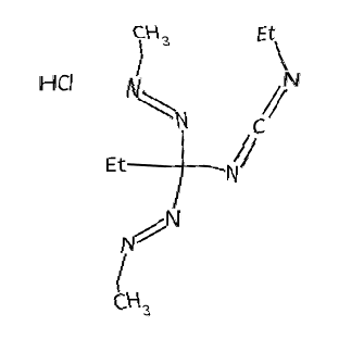 CCN=C=NC(CC)(N=NC)N=NC.Cl